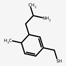 CC(N)CC1C=C(CS)C=CC1C